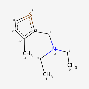 CCN(CC)Cc1sccc1C